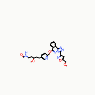 COCc1cc(-c2nnc3c4ccccc4c(OCc4ccc(CCC(CCNC=O)OC)cn4)nn23)no1